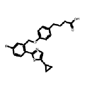 O=C(O)CCCc1ccc(OCc2cc(F)ccc2-c2ncc(C3CC3)s2)cc1